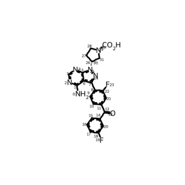 Nc1ncnc2c1c(-c1ccc(C(=O)c3cccc(F)c3)cc1F)nn2[C@@H]1CCN(C(=O)O)C1